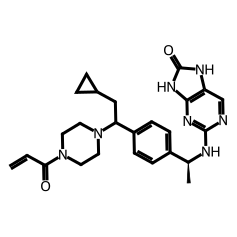 C=CC(=O)N1CCN(C(CC2CC2)c2ccc([C@H](C)Nc3ncc4[nH]c(=O)[nH]c4n3)cc2)CC1